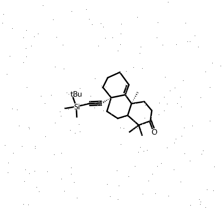 CC1(C)C(=O)CC[C@]2(C)C3=CCCC[C@]3(C#C[Si](C)(C)C(C)(C)C)CCC12